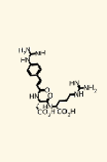 N=C(N)NCCC[C@H](NC(=O)[C@H](CC(=O)O)NC(=O)C=Cc1ccc(NC(=N)N)cc1)C(=O)O